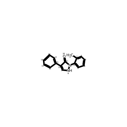 Cc1ccccc1-n1[nH]cc(-c2ccccc2)c1=O